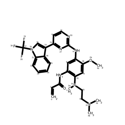 C=CC(=O)Nc1cc(Nc2nccc(-c3cn(C(F)(F)F)c4ccccc34)n2)c(OC)cc1N(C)CCN(C)C